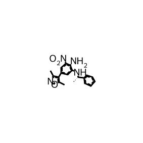 Cc1noc(C)c1-c1cc(N[C@@H](C)c2ccccc2)c(N)c([N+](=O)[O-])c1